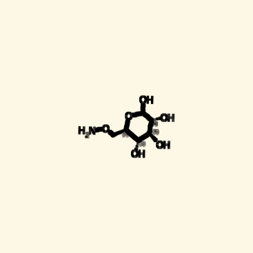 NOC[C@H]1OC(O)[C@H](O)[C@@H](O)[C@@H]1O